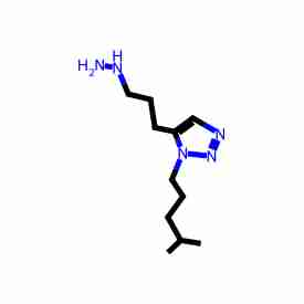 CC(C)CCCn1nncc1CCCNN